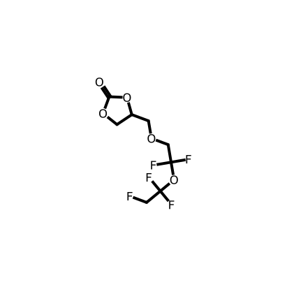 O=C1OCC(COCC(F)(F)OC(F)(F)CF)O1